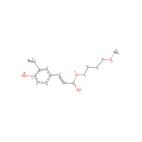 COc1cc(/C=C/C(O)OCCCCO[N+](=O)[O-])ccc1O